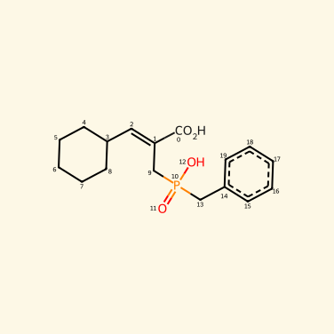 O=C(O)C(=CC1CCCCC1)CP(=O)(O)Cc1ccccc1